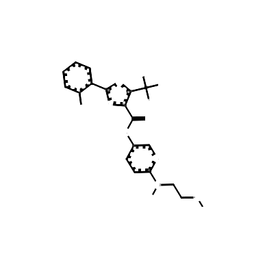 COCCN(C)c1ccc(NC(=O)c2nc(-c3ccccc3Cl)oc2C(F)(F)F)cn1